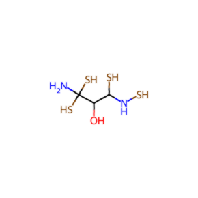 NC(S)(S)C(O)C(S)NS